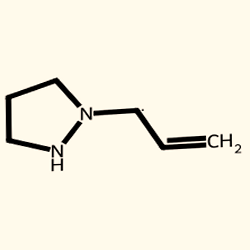 C=C[CH]N1CCCN1